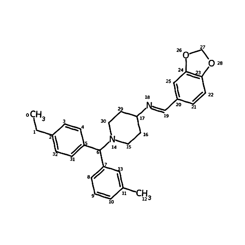 CCc1ccc(C(c2cccc(C)c2)N2CCC(N=Cc3ccc4c(c3)OCO4)CC2)cc1